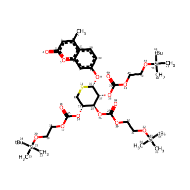 Cc1cc(=O)oc2cc(O[C@H]3SC[C@@H](OC(=O)OCCO[Si](C)(C)C(C)(C)C)[C@H](OC(=O)OCCO[Si](C)(C)C(C)(C)C)[C@H]3OC(=O)OCCO[Si](C)(C)C(C)(C)C)ccc12